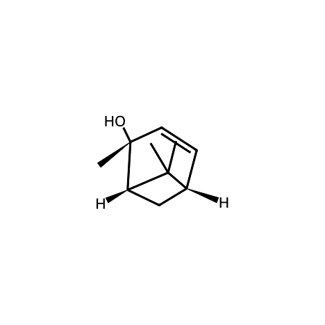 CC1(C)[C@@H]2C=C[C@@](C)(O)[C@H]1C2